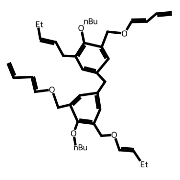 C=CC=COCc1cc(Cc2cc(COC=CC=C)c(OCCCC)c(COC=CCC)c2)cc(CC=CCC)c1OCCCC